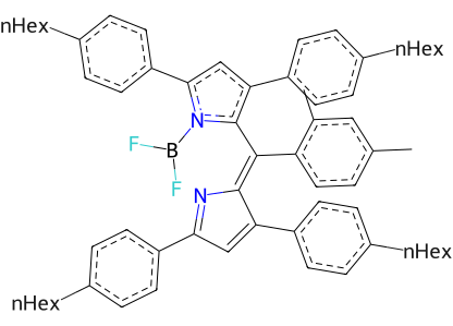 CCCCCCc1ccc(C2=CC(c3ccc(CCCCCC)cc3)=N/C2=C(/c2ccc(C)cc2C)c2c(-c3ccc(CCCCCC)cc3)cc(-c3ccc(CCCCCC)cc3)n2B(F)F)cc1